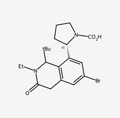 CCN1C(=O)Cc2cc(Br)cc([C@@H]3CCCN3C(=O)O)c2C1C(C)(C)C